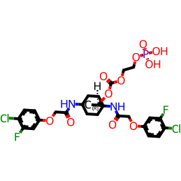 O=C(COc1ccc(Cl)c(F)c1)NC12CCC(NC(=O)COc3ccc(Cl)c(F)c3)(CC1)[C@H](OC(=O)OCCOP(=O)(O)O)C2